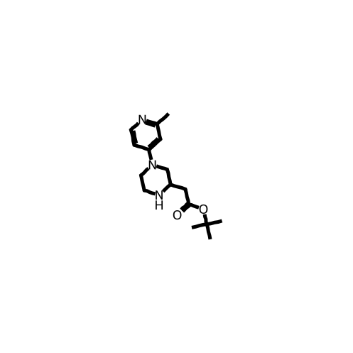 Cc1cc(N2CCNC(CC(=O)OC(C)(C)C)C2)ccn1